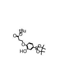 CC(C)(C)OC(=O)CCOc1ccc(B2OC(C)(C)C(C)(C)O2)cc1O